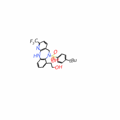 CC(C)(C)c1ccc(S(=O)(=O)N2Cc3ccc(C(F)(F)F)nc3Nc3cccc(C(O)CO)c32)cc1